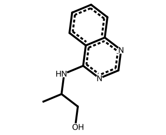 CC(CO)Nc1ncnc2ccccc12